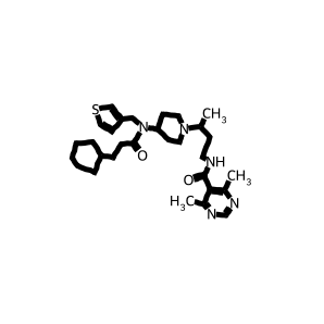 Cc1ncnc(C)c1C(=O)NCCC(C)N1CCC(N(Cc2ccsc2)C(=O)CCC2CCCCC2)CC1